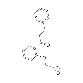 O=C(CCc1ccccc1)c1ccccc1OCC1CO1